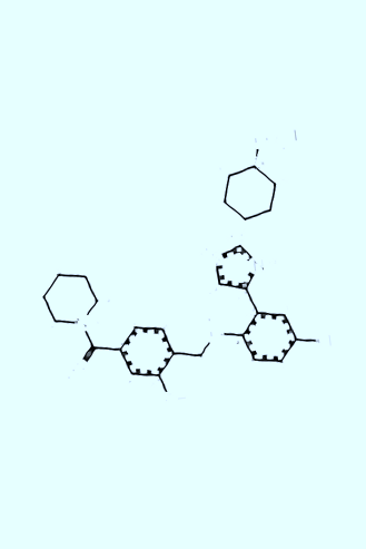 Cc1ccc(OCc2ccc(C(=O)N3CCCCC3)cc2C)c(-c2csc([C@H]3CC[C@H](C(=O)O)CC3)n2)c1